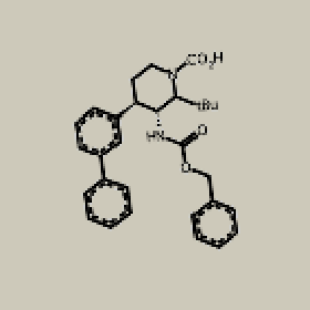 CC(C)(C)C1[C@H](NC(=O)OCc2ccccc2)[C@@H](c2cccc(-c3ccccc3)c2)CCN1C(=O)O